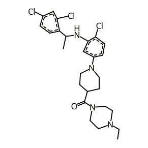 CCN1CCN(C(=O)C2CCN(c3ccc(Cl)c(NC(C)c4ccc(Cl)cc4Cl)c3)CC2)CC1